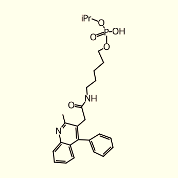 Cc1nc2ccccc2c(-c2ccccc2)c1CC(=O)NCCCCCOP(=O)(O)OC(C)C